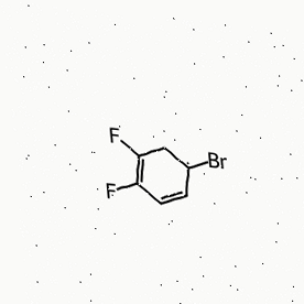 FC1=C(F)C[C](Br)C=C1